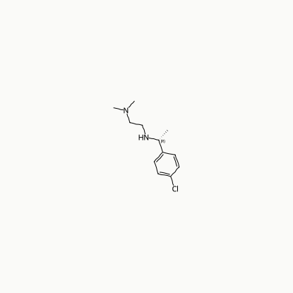 C[C@@H](NCCN(C)C)c1ccc(Cl)cc1